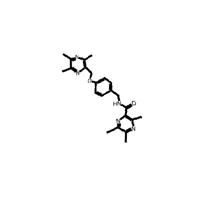 Cc1nc(C)c(COc2ccc(CNC(=O)c3nc(C)c(C)nc3C)cc2)nc1C